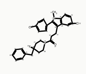 Cn1c(-c2ccc(Cl)cc2)c(CCC(=O)N2CCC(F)(Cc3ccccc3)CC2)c2cc(Cl)ccc21